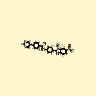 O=C(Nc1ccc(-c2nc3ccc([N+](=O)[O-])cc3n2O)cc1)c1ccc(-c2cncnc2)cc1